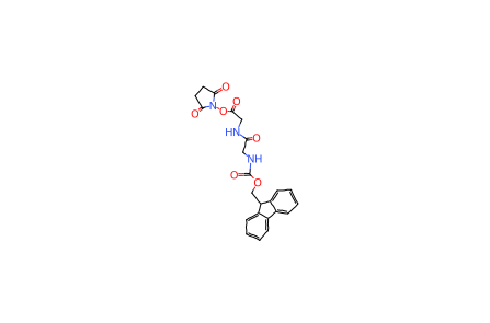 O=C(CNC(=O)OCC1c2ccccc2-c2ccccc21)NCC(=O)ON1C(=O)CCC1=O